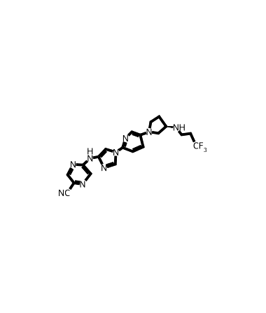 N#Cc1cnc(Nc2cn(-c3ccc(N4CC[C@@H](NCCC(F)(F)F)C4)cn3)cn2)cn1